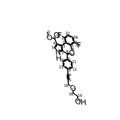 COC(=O)c1c[nH]c(C(=O)c2ccc(C#CCOCCO)cc2)c1-c1c(F)ccc(F)c1C